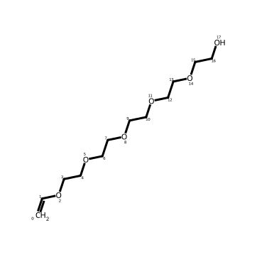 C=COCCOCCOCCOCCOCCO